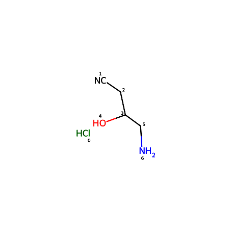 Cl.N#CCC(O)CN